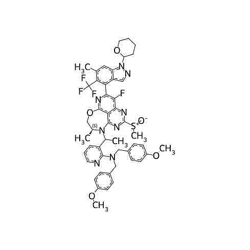 COc1ccc(CN(Cc2ccc(OC)cc2)c2ncccc2C(C)N2c3nc([S+](C)[O-])nc4c(F)c(-c5c(C(F)(F)F)c(C)cc6c5cnn6C5CCCCO5)nc(c34)OC[C@@H]2C)cc1